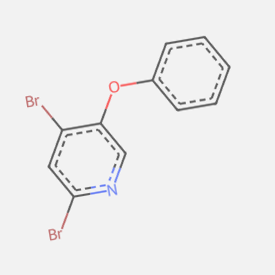 Brc1cc(Br)c(Oc2ccccc2)cn1